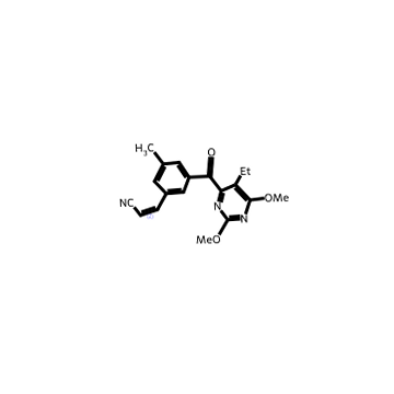 CCc1c(OC)nc(OC)nc1C(=O)c1cc(C)cc(/C=C\C#N)c1